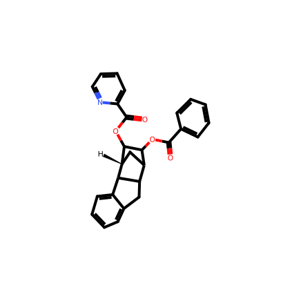 O=C(OC1C2C[C@@H](C1OC(=O)c1ccccn1)C1c3ccccc3CC21)c1ccccc1